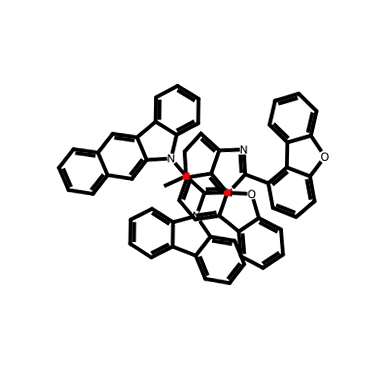 CC1C/C=C(c2c(-n3c4ccccc4c4cc5ccccc5cc43)ccc3c2oc2ccccc23)/N=C(c2cccc3oc4ccccc4c23)\N=C/1n1c2ccccc2c2ccccc21